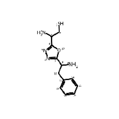 NC(CS)c1nnc(C(N)Cc2ccccc2)o1